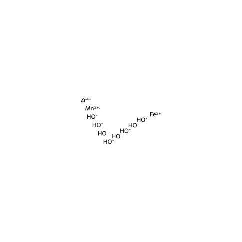 [Fe+2].[Mn+2].[OH-].[OH-].[OH-].[OH-].[OH-].[OH-].[OH-].[OH-].[Zr+4]